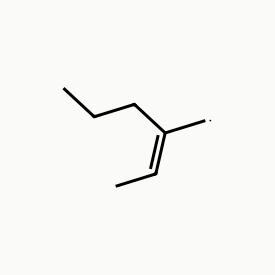 [CH2]C(=CC)CCC